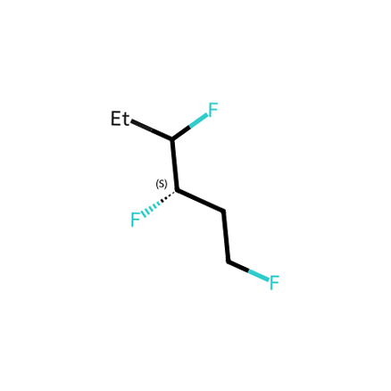 [CH2]CC(F)[C@@H](F)CCF